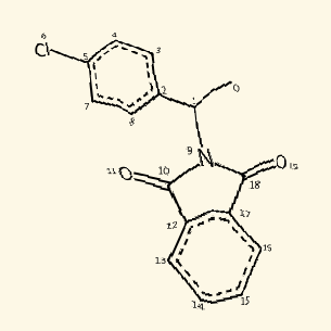 CC(c1ccc(Cl)cc1)N1C(=O)c2ccccc2C1=O